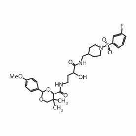 COc1ccc(C2OCC(C)(C)[C@H](C(=O)NCCC(O)C(=O)NCC3CCN(S(=O)(=O)c4cccc(F)c4)CC3)O2)cc1